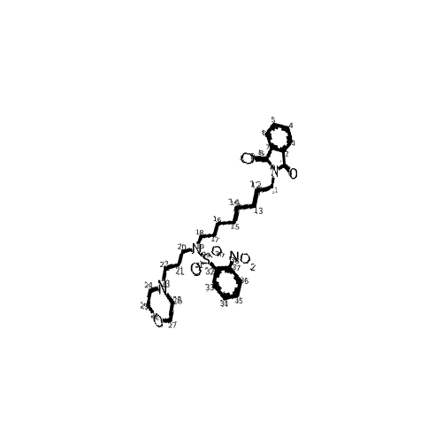 O=C1c2ccccc2C(=O)N1CCCCCCCCN(CCCN1CCOCC1)S(=O)(=O)c1ccccc1[N+](=O)[O-]